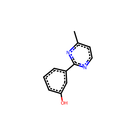 Cc1ccnc(-c2cccc(O)c2)n1